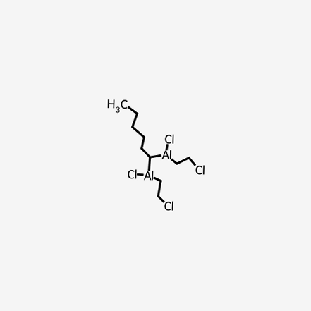 CCCCC[CH]([Al]([Cl])[CH2]CCl)[Al]([Cl])[CH2]CCl